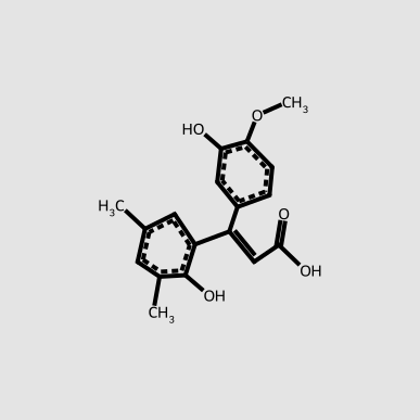 COc1ccc(/C(=C\C(=O)O)c2cc(C)cc(C)c2O)cc1O